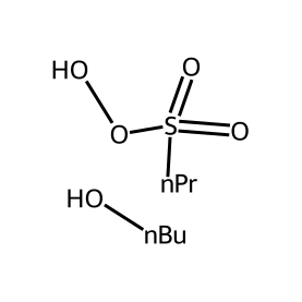 CCCCO.CCCS(=O)(=O)OO